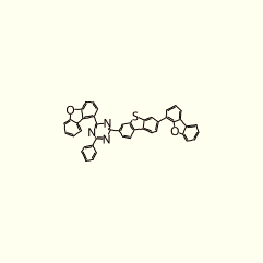 c1ccc(-c2nc(-c3ccc4c(c3)sc3cc(-c5cccc6c5oc5ccccc56)ccc34)nc(-c3cccc4oc5ccccc5c34)n2)cc1